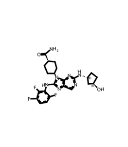 NC(=O)[C@H]1CC[C@@H](n2c(Nc3c(F)ccc(F)c3F)nc3cnc(N[C@@H]4CC[C@@H](O)C4)nc32)CC1